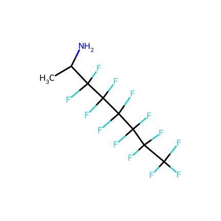 CC(N)C(F)(F)C(F)(F)C(F)(F)C(F)(F)C(F)(F)C(F)(F)F